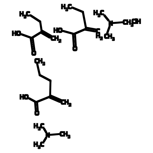 C=C(CC)C(=O)O.C=C(CC)C(=O)O.C=C(CCC)C(=O)O.CN(C)C.CN(C)C.Cl